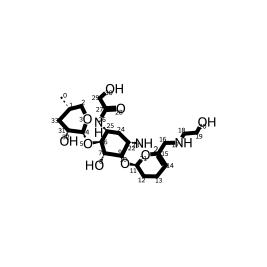 C[C@@H]1CO[C@H](O[C@@H]2[C@@H](O)[C@H](O[C@@H]3CCC=C(CNCCO)O3)[C@@H](N)C[C@H]2NC(=O)CO)[C@H](O)C1